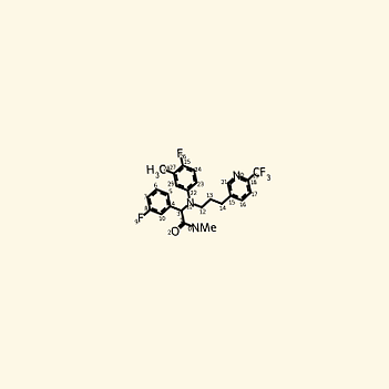 CNC(=O)C(c1cccc(F)c1)N(CCCc1ccc(C(F)(F)F)nc1)c1ccc(F)c(C)c1